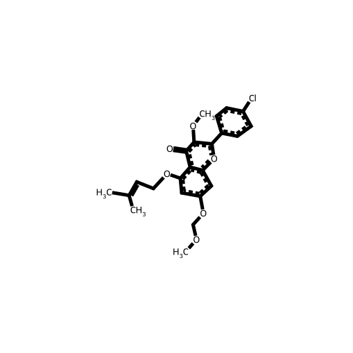 COCOc1cc(OCC=C(C)C)c2c(=O)c(OC)c(-c3ccc(Cl)cc3)oc2c1